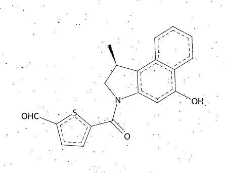 C[C@@H]1CN(C(=O)c2ccc(C=O)s2)c2cc(O)c3ccccc3c21